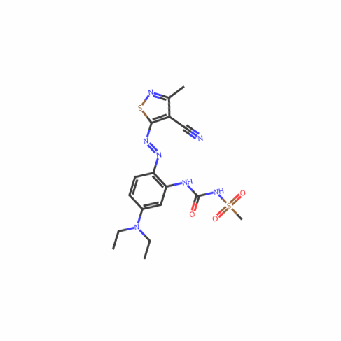 CCN(CC)c1ccc(N=Nc2snc(C)c2C#N)c(NC(=O)NS(C)(=O)=O)c1